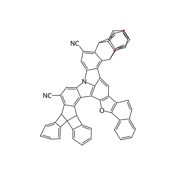 N#Cc1cc2c(c3c1C1c4ccccc4C3c3ccccc31)c1cc3c4ccc5ccccc5c4oc3c3c4c5c(c(C#N)cc4n2c13)C1c2ccccc2C12c1ccccc1C52